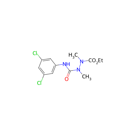 CCOC(=O)N(C)N(C)C(=O)Nc1cc(Cl)cc(Cl)c1